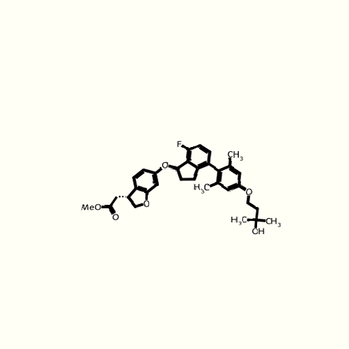 COC(=O)C[C@H]1COc2cc(OC3CCc4c(-c5c(C)cc(OCCC(C)(C)O)cc5C)ccc(F)c43)ccc21